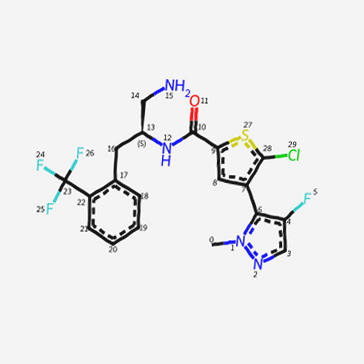 Cn1ncc(F)c1-c1cc(C(=O)N[C@H](CN)Cc2ccccc2C(F)(F)F)sc1Cl